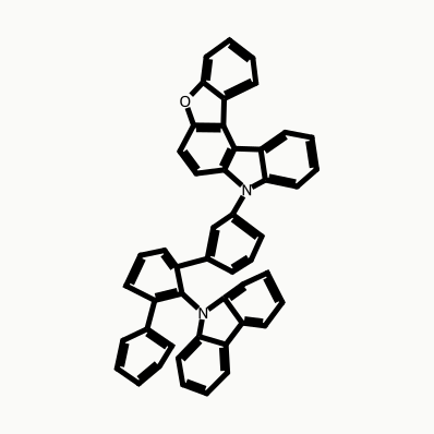 c1ccc(-c2cccc(-c3cccc(-n4c5ccccc5c5c6c(ccc54)oc4ccccc46)c3)c2-n2c3ccccc3c3ccccc32)cc1